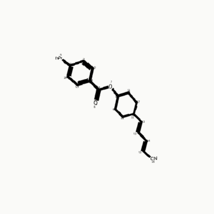 CCCc1ccc(C(=O)OC2CCC(C=CC=CC#N)CC2)cc1